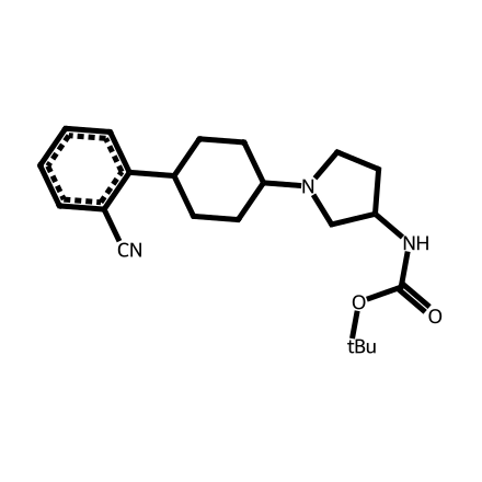 CC(C)(C)OC(=O)NC1CCN(C2CCC(c3ccccc3C#N)CC2)C1